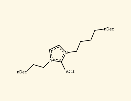 CCCCCCCCCCCCCCn1cc[n+](CCCCCCCCCCCC)c1CCCCCCCC